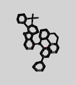 CC1(C)c2ccccc2-c2c1ccc1c2oc2cccc(N(c3cccc(-c4ccccc4)c3)c3cccc4c3-c3ccccc3CC4)c21